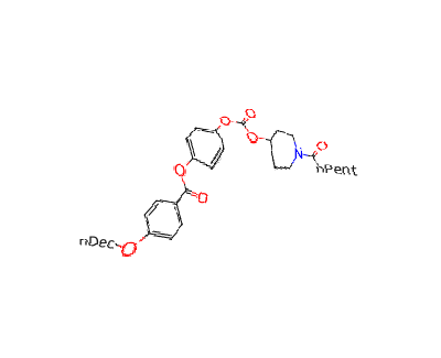 CCCCCCCCCCOc1ccc(C(=O)Oc2ccc(OC(=O)OC3CCN(C(=O)CCCCC)CC3)cc2)cc1